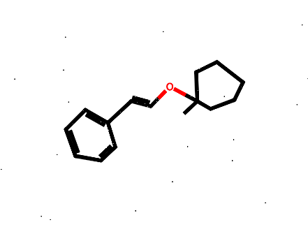 CC1(OC=Cc2ccccc2)CCCCC1